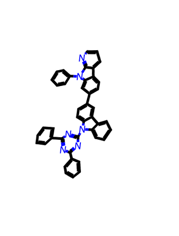 c1ccc(-c2nc(-c3ccccc3)nc(-n3c4ccccc4c4cc(-c5ccc6c7cccnc7n(-c7ccccc7)c6c5)ccc43)n2)cc1